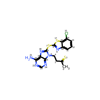 CC(=S)CCn1c(Sc2nc3cccc(Cl)c3s2)nc2c(N)ncnc21